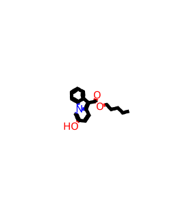 CCCCCOC(=O)c1c2ccccc2n2cc(O)ccc12